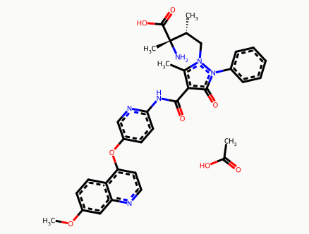 CC(=O)O.COc1ccc2c(Oc3ccc(NC(=O)c4c(C)n(C[C@@H](C)[C@](C)(N)C(=O)O)n(-c5ccccc5)c4=O)nc3)ccnc2c1